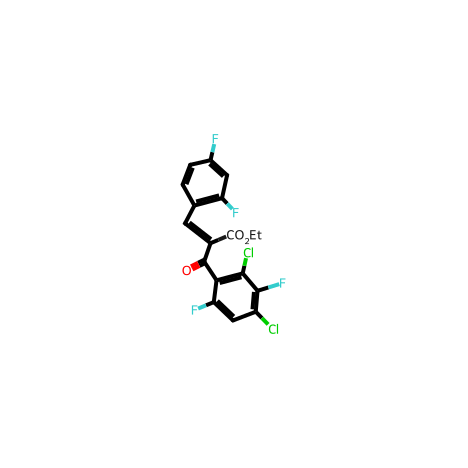 CCOC(=O)C(=Cc1ccc(F)cc1F)C(=O)c1c(F)cc(Cl)c(F)c1Cl